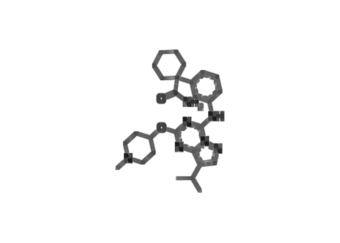 CC(C)c1cnn2c(Nc3cccc(C4(C(N)=O)CCCCC4)c3)nc(OC3CCN(C)CC3)nc12